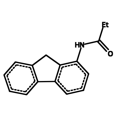 CCC(=O)Nc1cccc2c1Cc1ccccc1-2